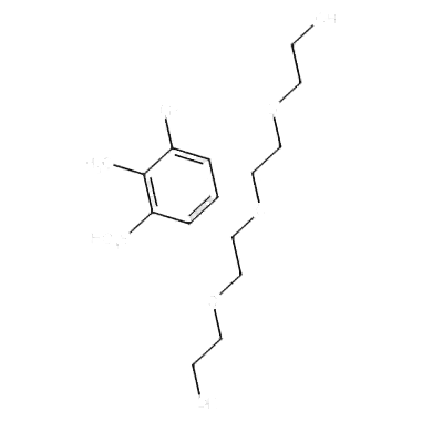 Cc1cccc(S(=O)(=O)O)c1C.OCCOCCOCCOCCO